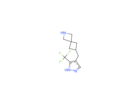 FC(F)(F)c1[nH]ncc1CC1CC2(CNC2)C1